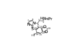 CC(C)NCCCn1ccnc1Sc1cc2c(cc1I)OCO2